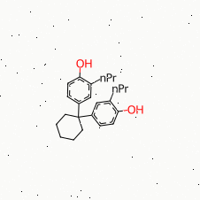 CCCc1cc(C2(c3ccc(O)c(CCC)c3)CCCCC2)ccc1O